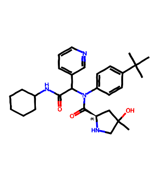 CC1(O)CN[C@@H](C(=O)N(c2ccc(C(C)(C)C)cc2)C(C(=O)NC2CCCCC2)c2cccnc2)C1